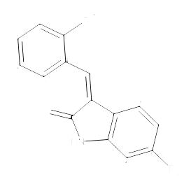 O=C1Nc2cc(F)ccc2C1=Cc1ccccc1F